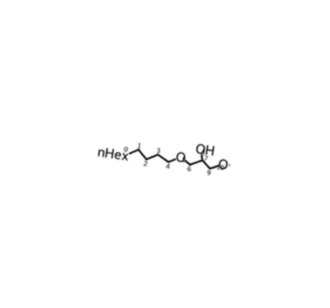 CCCCCCCCCCOCC(O)C[O]